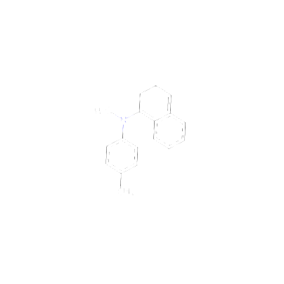 Cc1ccc(N(C)C2=c3ccccc3=CCC2)cc1